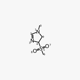 CN1C=NC(S(C)(=O)=O)C1